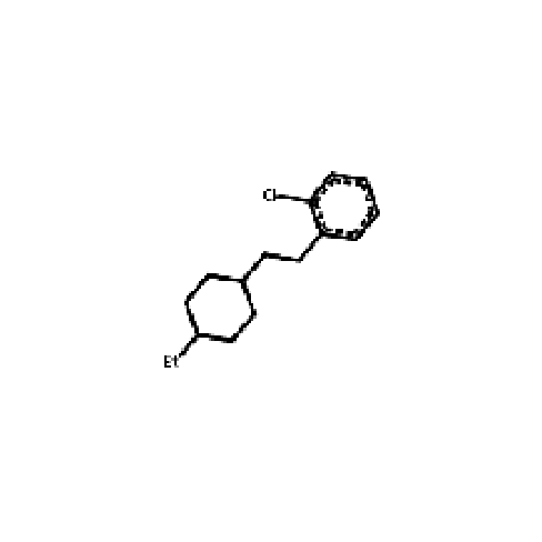 CCC1CCC(CCc2ccccc2Cl)CC1